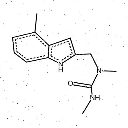 CNC(=O)N(C)Cc1cc2c(C)cccc2[nH]1